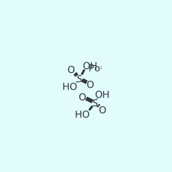 O=S(=O)(O)O.O=S(=O)(O)O.[Po]